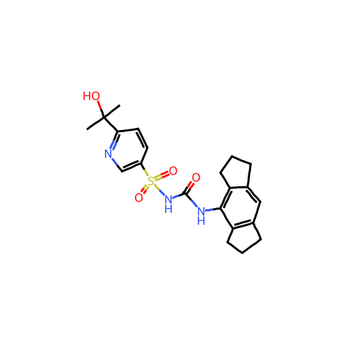 CC(C)(O)c1ccc(S(=O)(=O)NC(=O)Nc2c3c(cc4c2CCC4)CCC3)cn1